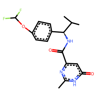 Cc1nc(C(=O)N[C@@H](c2ccc(OC(F)F)cc2)C(C)C)cc(=O)[nH]1